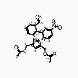 CC(=O)OCc1cc(COC(C)=O)n(-c2ccc([N+](=O)[O-])cc2-c2ccccc2C=O)n1